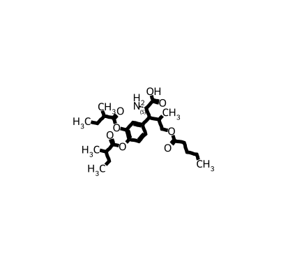 CCCCC(=O)OCC(C)C(c1ccc(OC(=O)C(C)CC)c(OC(=O)C(C)CC)c1)[C@H](N)C(=O)O